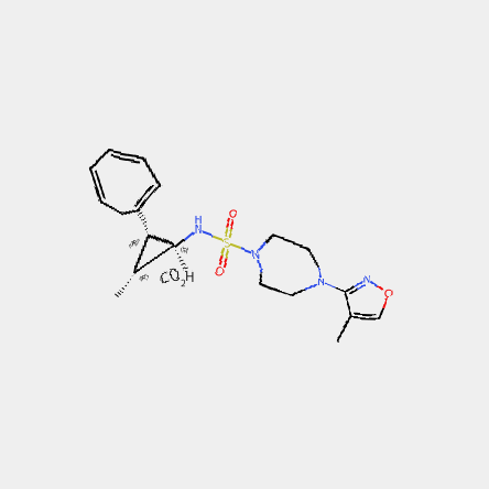 Cc1conc1N1CCN(S(=O)(=O)N[C@@]2(C(=O)O)[C@H](C)[C@@H]2c2ccccc2)CC1